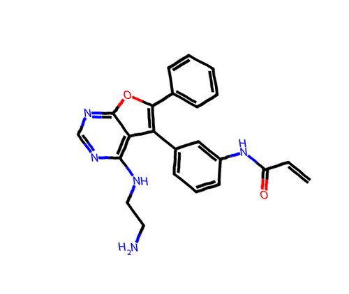 C=CC(=O)Nc1cccc(-c2c(-c3ccccc3)oc3ncnc(NCCN)c23)c1